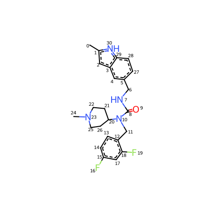 Cc1cc2cc(CNC(=O)N(Cc3ccc(F)cc3F)C3CCN(C)CC3)ccc2[nH]1